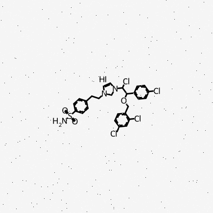 I.NS(=O)(=O)c1ccc(CCN2C=CN(C(Cl)C(OCc3ccc(Cl)cc3Cl)c3ccc(Cl)cc3)C2)cc1